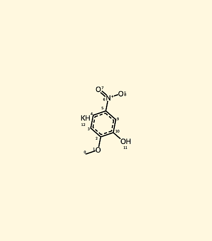 COc1ccc([N+](=O)[O-])cc1O.[KH]